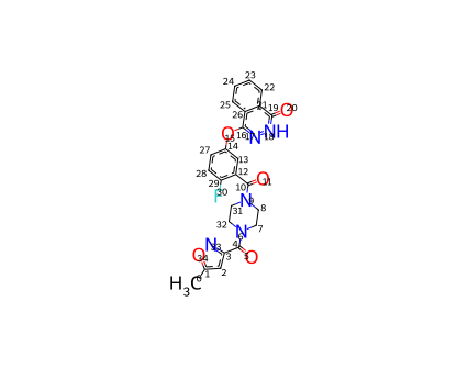 Cc1cc(C(=O)N2CCN(C(=O)c3cc(Oc4n[nH]c(=O)c5ccccc45)ccc3F)CC2)no1